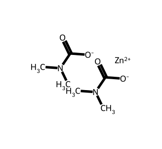 CN(C)C(=O)[O-].CN(C)C(=O)[O-].[Zn+2]